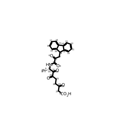 CC(C)[C@H](NC(=O)C(=O)CC1c2ccccc2-c2ccccc21)C(=O)C(=O)CCC(=O)CC(=O)O